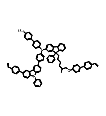 C=Cc1ccc(-c2ccc(OCC(C)CCCCC3(c4ccccc4)c4ccccc4-c4ccc(N(c5ccc(-c6ccc(C(C)(C)C)cc6)cc5)c5ccc(-c6ccc7c(c6)c6cc(-c8ccc(C=C)cc8)ccc6n7-c6ccccc6)cc5)cc43)cc2)cc1